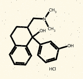 CN(C)CC1CCc2ccccc2C1(O)c1cccc(O)c1.Cl